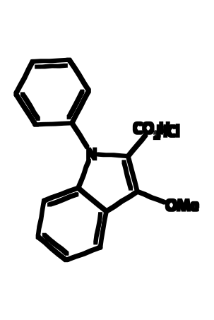 COc1c(C(=O)O)n(-c2ccccc2)c2ccccc12.Cl